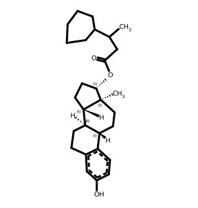 CC(CC(=O)O[C@H]1CC[C@H]2[C@@H]3CCc4cc(O)ccc4[C@H]3CC[C@]12C)C1CCCCC1